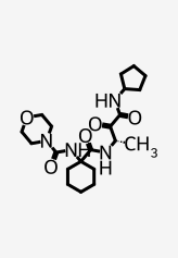 C[C@H](NC(=O)C1(NC(=O)N2CCOCC2)CCCCC1)C(=O)C(=O)NC1CCCC1